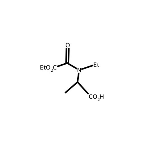 CCOC(=O)C(=O)N(CC)C(C)C(=O)O